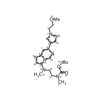 COCCn1cc(-c2cc3ncc(N(C)CCN(C)C(=O)OC(C)(C)C)n3cn2)cn1